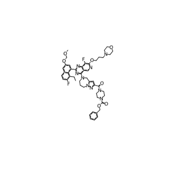 CCc1c(F)ccc2cc(OCOC)cc(-c3nc(N4CCCn5nc(C(=O)N6CCN(C(=O)OCc7ccccc7)CC6)cc5C4)c4cnc(OCCCN5CCOCC5)c(F)c4n3)c12